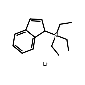 CC[Si](CC)(CC)C1C=Cc2ccccc21.[Li]